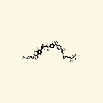 COCCn1ncc(-c2ccc(-c3cnc(C(=O)Nc4ccc(C(=O)N5CCN(C(=O)CCCN(C)CCCNC(=O)OC(C)(C)C)CC5)c(Cl)c4)n3C)c(F)c2F)c1C